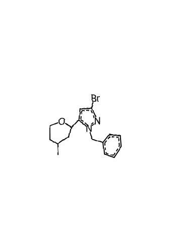 CC1CCOC(c2cc(Br)nn2Cc2ccccc2)C1